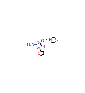 Nc1nc(OCCN2CCOCC2)c(I)c(-c2ccco2)n1